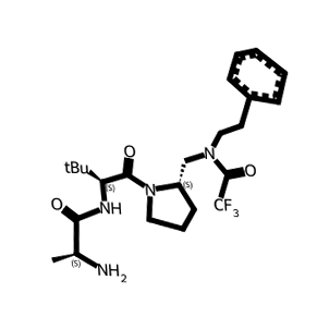 C[C@H](N)C(=O)N[C@H](C(=O)N1CCC[C@H]1CN(CCc1ccccc1)C(=O)C(F)(F)F)C(C)(C)C